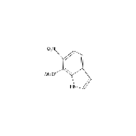 COc1c([N+](=O)[O-])ccc2cc[nH]c12